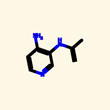 C=C(C)Nc1cnccc1N